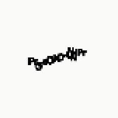 CC(C)C(=O)C1CC2(CCC(N3CCC(c4cnc(C(C)C)nc4)CC3)CC2)C1